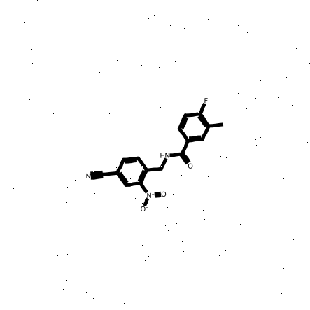 Cc1cc(C(=O)NCc2ccc(C#N)cc2[N+](=O)[O-])ccc1F